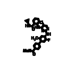 CNC(=O)c1ccc(-c2cc(F)c(Nc3ncc(Cl)c(Nc4ccccc4C(=O)NC4CC4)n3)cc2C)cc1